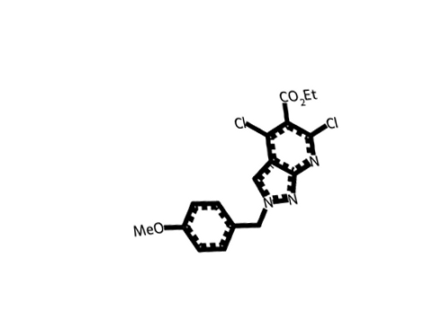 CCOC(=O)c1c(Cl)nc2nn(Cc3ccc(OC)cc3)cc2c1Cl